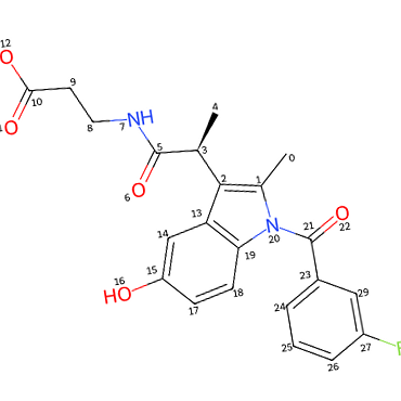 Cc1c([C@H](C)C(=O)NCCC(=O)O)c2cc(O)ccc2n1C(=O)c1cccc(F)c1